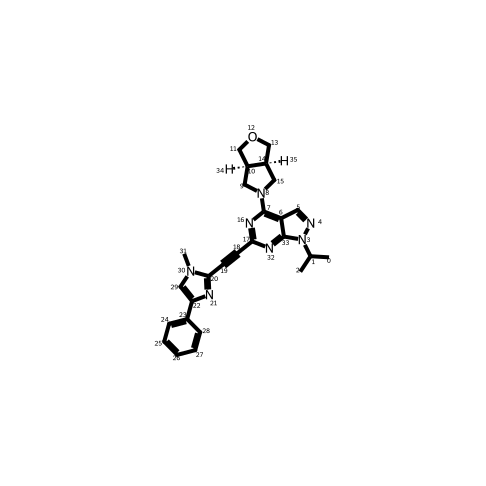 CC(C)n1ncc2c(N3C[C@H]4COC[C@H]4C3)nc(C#Cc3nc(-c4ccccc4)cn3C)nc21